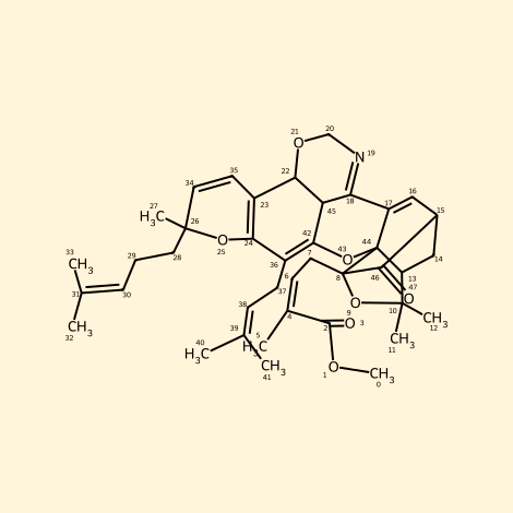 COC(=O)/C(C)=C\CC12OC(C)(C)C3CC(C=C4C5=NCOC6C7=C(OC(C)(CCC=C(C)C)C=C7)C(CC=C(C)C)=C(OC431)C56)C2=O